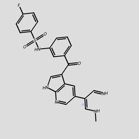 CN/C=C(\C=N)c1cnc2[nH]cc(C(=O)c3cccc(NS(=O)(=O)c4ccc(F)cc4)c3)c2c1